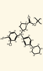 CC(C)(C)OC(=O)N1CC[C@H](N(c2ccc(N3CCCCC3)cc2)c2ccc(F)c(Cl)c2)C1